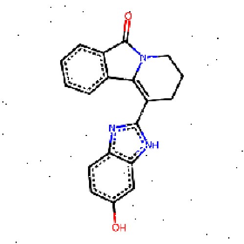 O=C1c2ccccc2C2=C(c3nc4ccc(O)cc4[nH]3)CCCN12